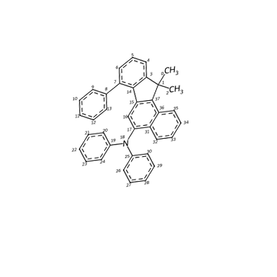 CC1(C)c2cccc(-c3ccccc3)c2-c2cc(N(c3ccccc3)c3ccccc3)c3ccccc3c21